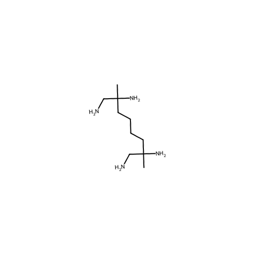 CC(N)(CN)CCCCC(C)(N)CN